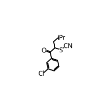 CC(C)CC(SC#N)C(=O)c1cccc(Cl)c1